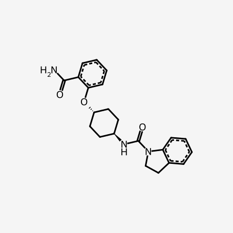 NC(=O)c1ccccc1O[C@H]1CC[C@H](NC(=O)N2CCc3ccccc32)CC1